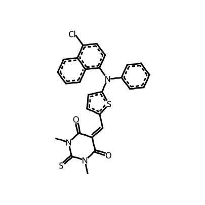 CN1C(=O)C(=Cc2ccc(N(c3ccccc3)c3ccc(Cl)c4ccccc34)s2)C(=O)N(C)C1=S